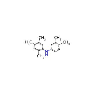 Cc1ccc(Nc2cc(C)c(C)cc2C)cc1C